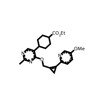 CCOC(=O)C1CCC(c2cnc(C)nc2OCC2=C(c3ccc(OC)cn3)C2)CC1